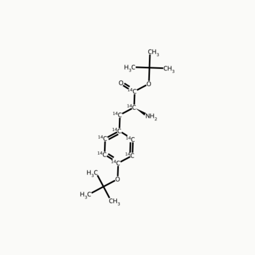 CC(C)(C)O[14C](=O)[14C@@H](N)[14CH2][14c]1[14cH][14cH][14c](OC(C)(C)C)[14cH][14cH]1